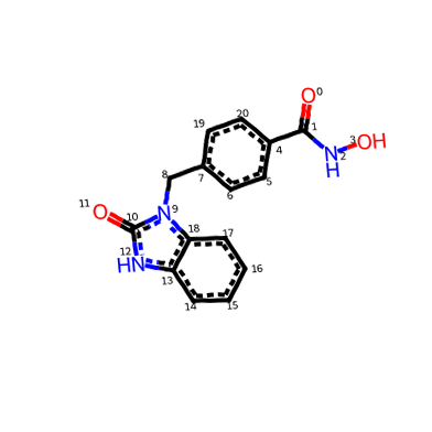 O=C(NO)c1ccc(Cn2c(=O)[nH]c3ccccc32)cc1